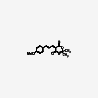 COc1ccc(C=CC=C2C(=O)OC(C)(C)OC2=O)cc1